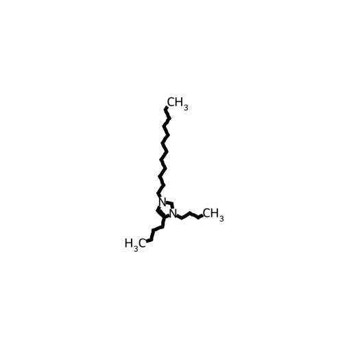 CCCCCCCCCCCCN1C=C(CCCC)N(CCCC)C1